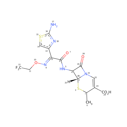 CC1S[C@@H]2C(NC(=O)C(=NOCC(F)(F)F)c3csc(N)n3)C(=O)N2C=C1C(=O)O